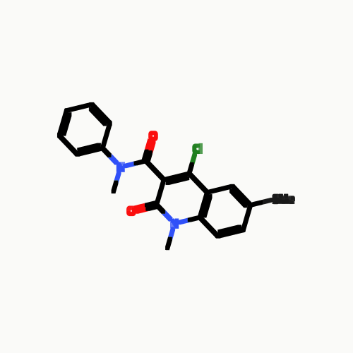 CSc1ccc2c(c1)c(Cl)c(C(=O)N(C)c1ccccc1)c(=O)n2C